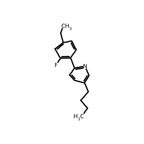 CCCCc1ccc(-c2ccc(CC)cc2F)nc1